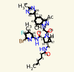 C=CCCCC(=O)NC[C@@]12C[C@@H](C(=O)Nc3cc(C)c(F)c(Br)n3)N(C(=O)Cn3nc(C(C)=O)c4cc(-c5cnc(C)nc5)cc(C)c43)[C@@H]1C2